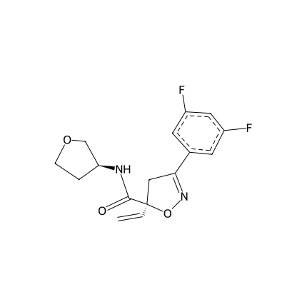 C=C[C@]1(C(=O)N[C@H]2CCOC2)CC(c2cc(F)cc(F)c2)=NO1